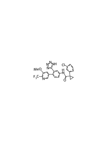 COc1cc(-c2ccc(NC(=O)C3(c4cccc(Cl)c4)CC3)cc2-c2nnn[nH]2)cnc1C(F)(F)F